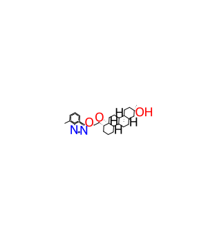 Cc1cccc2c(OCC(=O)[C@H]3CCC[C@H]4[C@@H]5CC[C@H]6C[C@](C)(O)CC[C@]6(C)[C@H]5CC[C@]34C)ncnc12